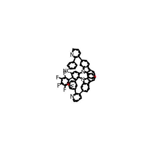 N#Cc1cc(-n2c3ccccc3c3ccc(-c4cccnc4-c4ccccc4)cc32)c(-n2c3ccccc3c3ccc(-c4cccnc4-c4ccccc4)cc32)cc1-c1c(F)c(F)c(F)c(F)c1F